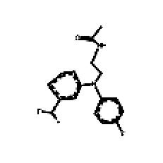 CC(=O)NCCN(c1ccc(F)cc1)c1cccc(C(F)F)c1